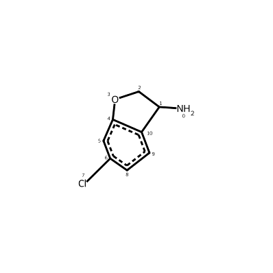 NC1COc2cc(Cl)ccc21